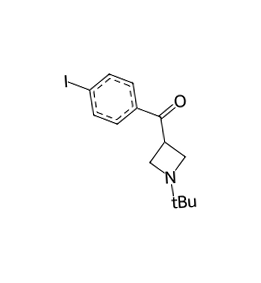 CC(C)(C)N1CC(C(=O)c2ccc(I)cc2)C1